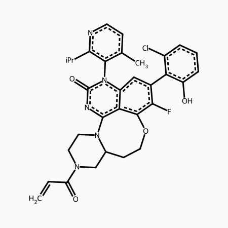 C=CC(=O)N1CCN2c3nc(=O)n(-c4c(C)ccnc4C(C)C)c4cc(-c5c(O)cccc5Cl)c(F)c(c34)OCCC2C1